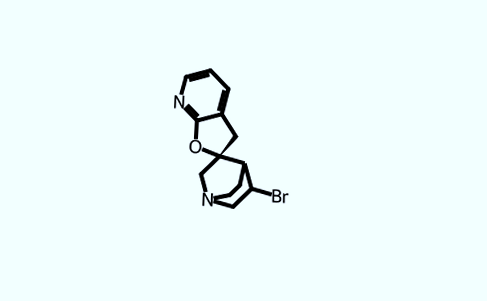 BrC1CN2CCC1[C@]1(Cc3cccnc3O1)C2